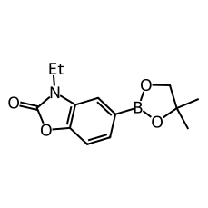 CCn1c(=O)oc2ccc(B3OCC(C)(C)O3)cc21